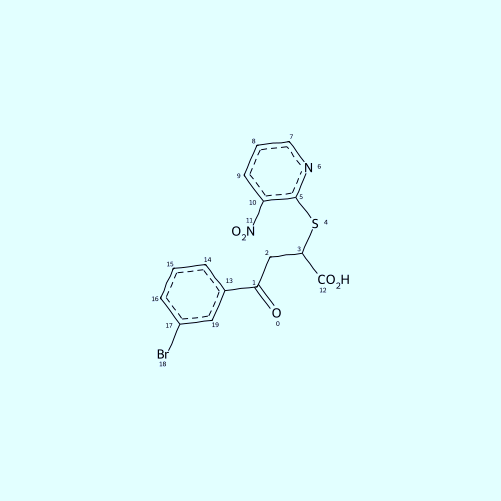 O=C(CC(Sc1ncccc1[N+](=O)[O-])C(=O)O)c1cccc(Br)c1